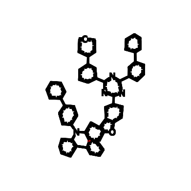 c1ccc(-c2ccc(N(c3ccc4oc5ccc(-c6nc(-c7cccc(-c8ccccc8)c7)nc(-c7cccc(-c8ccccc8)c7)n6)cc5c4c3)c3ccccc3-c3ccccc3)cc2)cc1